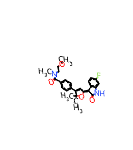 COCCN(C)C(=O)c1ccc(C2=CC(=C3C(=O)Nc4cc(F)ccc43)OC2(C)C)cc1